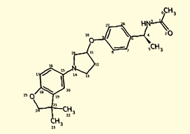 CC(=O)N[C@@H](C)c1ccc(OC2CCN(c3ccc4c(c3)C(C)(C)CO4)C2)cc1